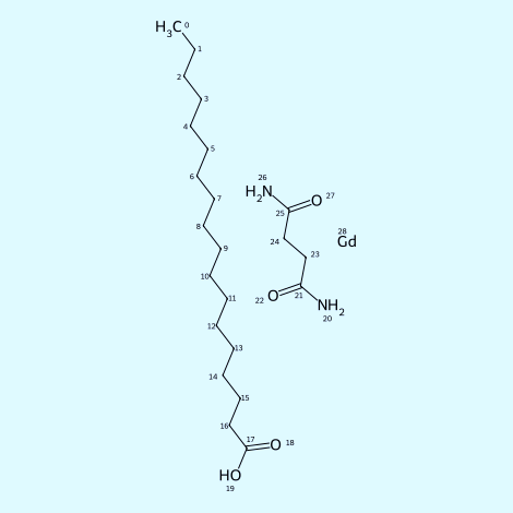 CCCCCCCCCCCCCCCCCC(=O)O.NC(=O)CCC(N)=O.[Gd]